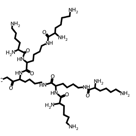 CCC(=O)C(CCCCNC(=O)C(CCCCNC(=O)C(N)CCCCN)NC(=O)C(N)CCCCN)NC(=O)C(CCCCNC(=O)C(N)CCCCN)NC(=O)C(N)CCCCN